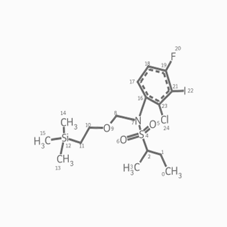 CCC(C)S(=O)(=O)N(COCC[Si](C)(C)C)c1ccc(F)c(I)c1Cl